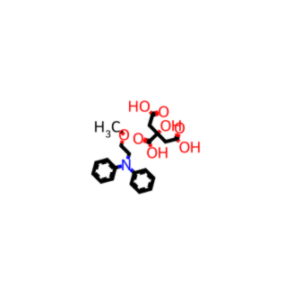 COCCN(c1ccccc1)c1ccccc1.O=C(O)CC(O)(CC(=O)O)C(=O)O